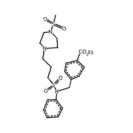 CCOC(=O)c1ccc(CN(c2ccccc2)S(=O)(=O)CCCN2CCN(S(C)(=O)=O)CC2)cc1